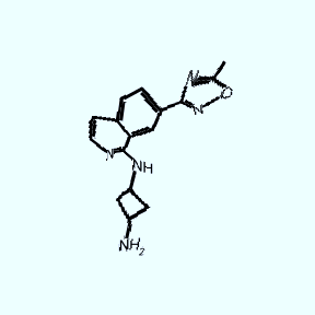 Cc1nc(-c2ccc3ccnc(NC4CC(N)C4)c3c2)no1